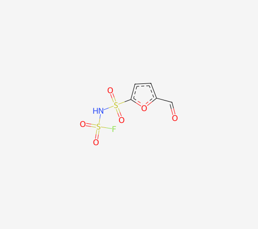 O=Cc1ccc(S(=O)(=O)NS(=O)(=O)F)o1